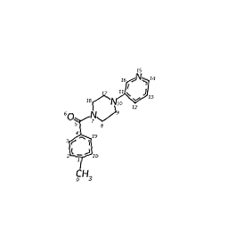 Cc1ccc(C(=O)N2CCN(c3cccnc3)CC2)cc1